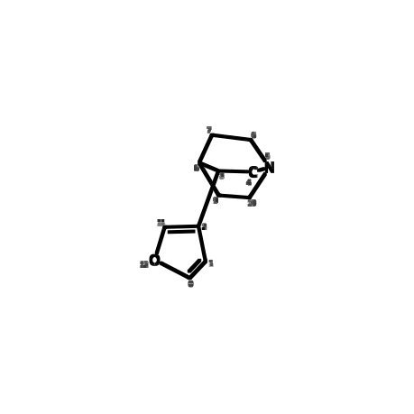 c1cc(C2CN3CCC2CC3)co1